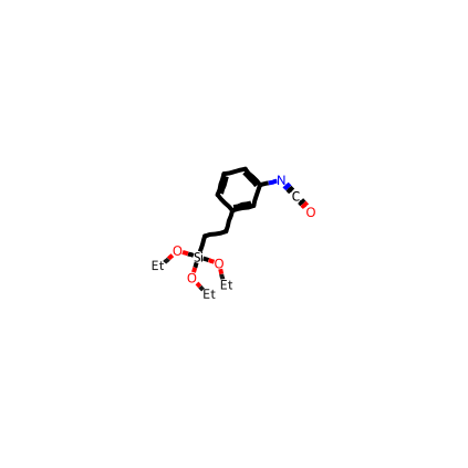 CCO[Si](CCc1cccc(N=C=O)c1)(OCC)OCC